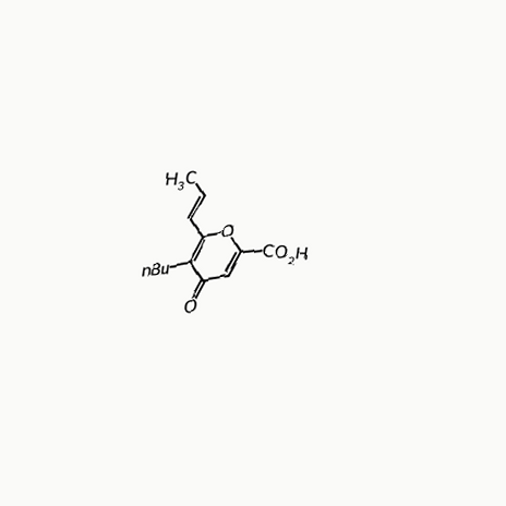 C/C=C/c1oc(C(=O)O)cc(=O)c1CCCC